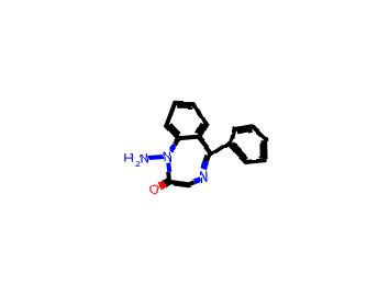 NN1C(=O)CN=C(c2ccccc2)c2ccccc21